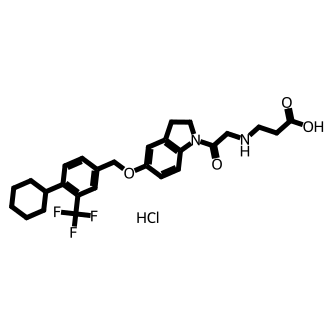 Cl.O=C(O)CCNCC(=O)N1CCc2cc(OCc3ccc(C4CCCCC4)c(C(F)(F)F)c3)ccc21